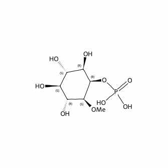 CO[C@H]1[C@H](O)[C@@H](O)[C@H](O)[C@@H](O)[C@H]1OP(=O)(O)O